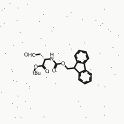 CC(C)(C)OC(=O)[C@H](CC=O)NC(=O)OCC1c2ccccc2-c2ccccc21